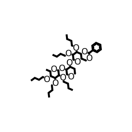 CCCCOC1C(C)OC(OC2COCCC2OC2OC3COC(c4ccccc4)OC3C(OCCCC)C2OCCCC)C(OCCCC)C1OCCCC